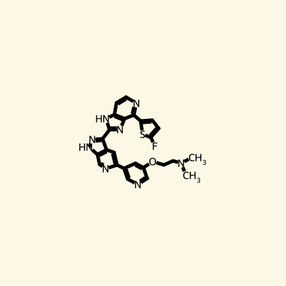 CN(C)CCOc1cncc(-c2cc3c(-c4nc5c(-c6ccc(F)s6)nccc5[nH]4)n[nH]c3cn2)c1